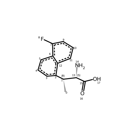 C[C@H](c1cccc2c(F)cccc12)[C@H](N)C(=O)O